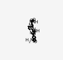 CC1CCN(c2n[nH]c3nc(N4CCC5(CC4)CO[C@@H](C)[C@H]5N)cnc23)c2ccc(-c3noc(=O)[nH]3)nc21